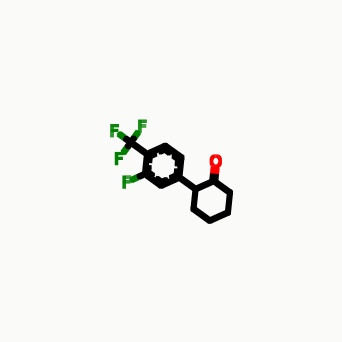 O=C1CCCCC1c1ccc(C(F)(F)F)c(F)c1